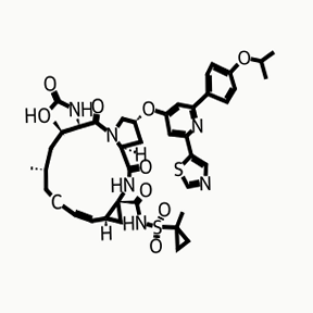 CC(C)Oc1ccc(-c2cc(O[C@@H]3C[C@H]4C(=O)N[C@]5(C(=O)NS(=O)(=O)C6(C)CC6)C[C@H]5C=CCC[C@H](C)C[C@@H](C)[C@H](NC(=O)O)C(=O)N4C3)cc(-c3cncs3)n2)cc1